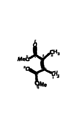 COC(=O)C(C)=C(C)C(=O)OC